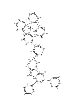 c1ccc(-c2nc(-c3ccccc3)c3oc4ccc(-c5cccc(-c6ccc7c(c6)C6(c8ccccc8-c8ccccc86)c6ccccc6-7)c5)cc4c3n2)cc1